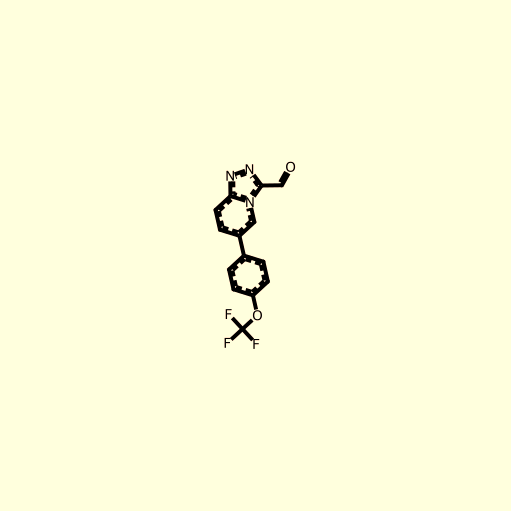 O=Cc1nnc2ccc(-c3ccc(OC(F)(F)F)cc3)cn12